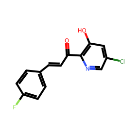 O=C(C=Cc1ccc(F)cc1)c1ncc(Cl)cc1O